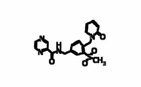 CS(=O)(=O)c1cc(CNC(=O)c2cnccn2)ccc1Cn1ccccc1=O